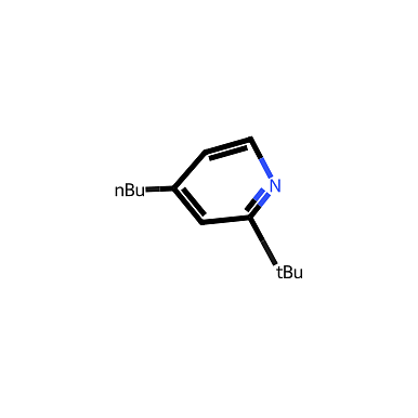 CCCCc1ccnc(C(C)(C)C)c1